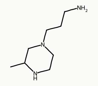 CC1CN(CCCN)CCN1